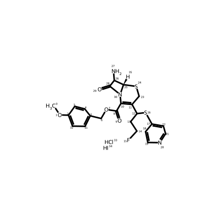 COc1ccc(COC(=O)C2=C(C(CCF)Sc3ccncc3)CS[C@H]3C(N)C(=O)N23)cc1.Cl.I